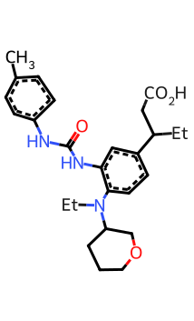 CCC(CC(=O)O)c1ccc(N(CC)C2CCCOC2)c(NC(=O)Nc2ccc(C)cc2)c1